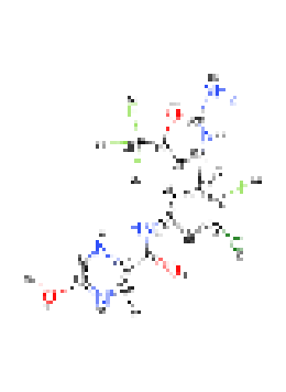 COc1cnc(C(=O)Nc2cc(Cl)c(F)c([C@@]3(C)C[C@@H](C(F)(F)F)OC(N)=N3)c2)c(C)n1